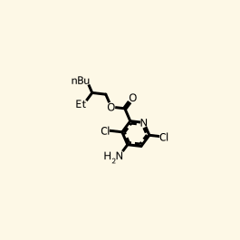 CCCCC(CC)COC(=O)c1nc(Cl)cc(N)c1Cl